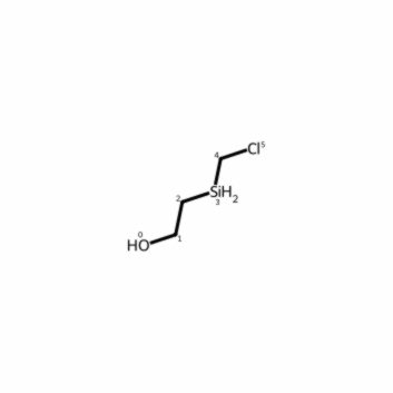 OCC[SiH2]CCl